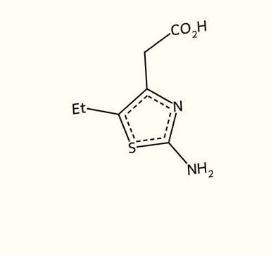 CCc1sc(N)nc1CC(=O)O